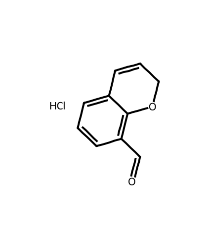 Cl.O=Cc1cccc2c1OCC=C2